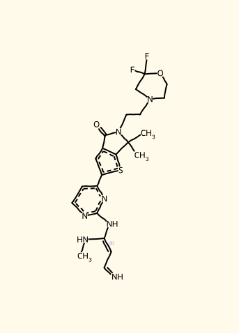 CN/C(=C\C=N)Nc1nccc(-c2cc3c(s2)C(C)(C)N(CCN2CCOC(F)(F)C2)C3=O)n1